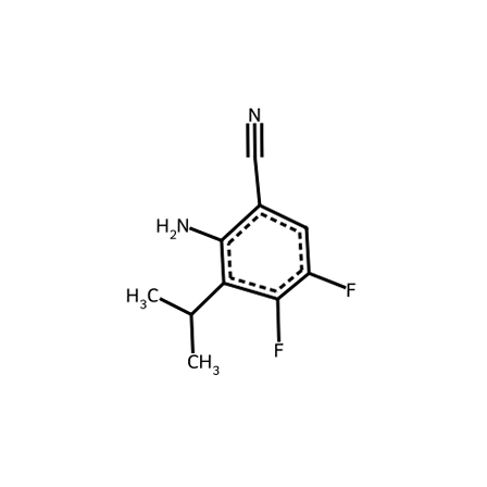 CC(C)c1c(N)c(C#N)cc(F)c1F